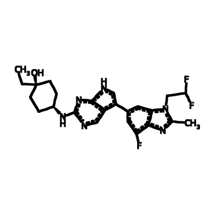 CC[C@]1(O)CC[C@@H](Nc2ncc3c(-c4cc(F)c5nc(C)n(CC(F)F)c5c4)c[nH]c3n2)CC1